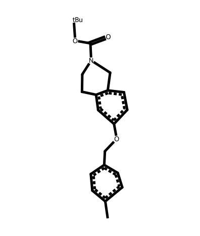 Cc1ccc(COc2ccc3c(c2)CCN(C(=O)OC(C)(C)C)C3)cc1